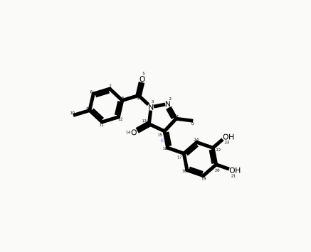 CC1=NN(C(=O)c2ccc(C)cc2)C(=O)/C1=C/c1ccc(O)c(O)c1